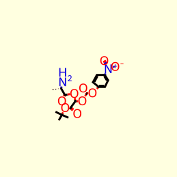 C[C@H](N)C(=O)OC(OC(=O)Oc1ccc([N+](=O)[O-])cc1)C(=O)OC(C)(C)C